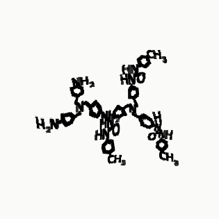 Cc1ccc(NC(=O)Nc2ccc(CN(Cc3ccc(NC(=O)Nc4ccc(C)cc4)cc3)Cc3ccc(NC(=O)Nc4ccc(C)cc4)cc3)cc2)cc1.Nc1ccc(CN(Cc2ccc(N)cc2)Cc2ccc(N)cc2)cc1